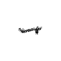 CC(C)OCCN1CCN(c2ccc(N3CCN(c4ccc(OC[C@@H]5CO[C@@](Cn6cncn6)(c6ccc(F)cc6F)O5)cc4)CC3)cc2)C1=O